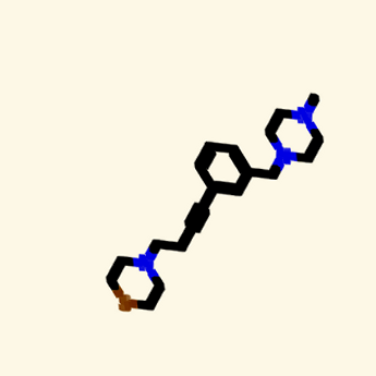 CN1CCN(Cc2cccc(C#CCCN3CCSCC3)c2)CC1